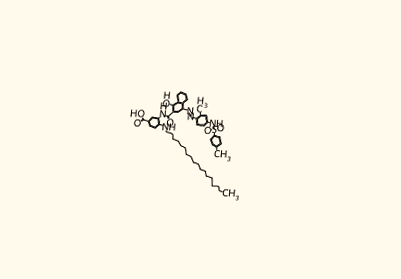 CCCCCCCCCCCCCCCCCCNc1ccc(C(=O)O)cc1NC(=O)c1cc(/N=N/c2ccc(NS(=O)(=O)c3ccc(C)cc3)cc2C)c2ccccc2c1O